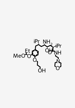 CCC(OC)Oc1cc(C[C@@H](C[C@H](N)[C@@H](O)C[C@H](C(=O)NCCN2CCOCC2)C(C)C)C(C)C)ccc1OCCCO